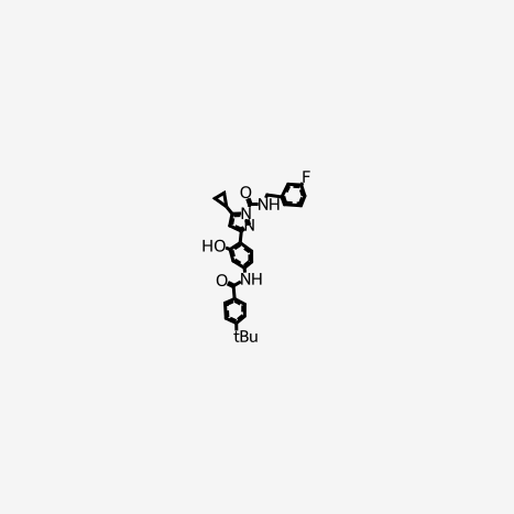 CC(C)(C)c1ccc(C(=O)Nc2ccc(-c3cc(C4CC4)n(C(=O)NCc4cccc(F)c4)n3)c(O)c2)cc1